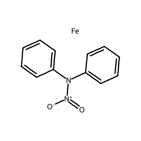 O=[N+]([O-])N(c1ccccc1)c1ccccc1.[Fe]